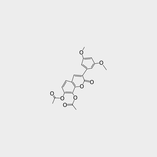 COc1cc(OC)cc(-c2cc3ccc(OC(C)=O)c(OC(C)=O)c3oc2=O)c1